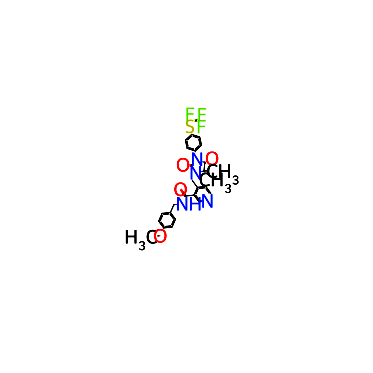 COc1ccc(CNC(=O)c2cnccc2CN2C(=O)N(c3ccc(SC(F)(F)F)cc3)C(=O)C2(C)C)cc1